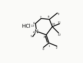 CC(C)=C1N(C)CCC(C)C1(C)C.Cl